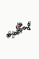 CC(C)OP1(=O)CCC(CNc2ccc(S(=O)(=O)NC(=O)c3ccc(N4CCN(CC5=C(c6ccc(Cl)cc6)CC(C)(C)CC5)CC4)cc3N3CCCOc4nc5[nH]ccc5cc43)cc2[N+](=O)[O-])CC1